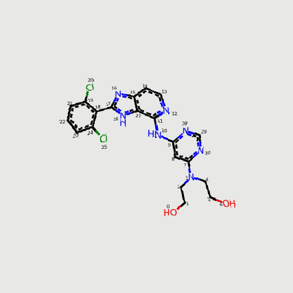 OCCN(CCO)c1cc(Nc2nccc3nc(-c4c(Cl)cccc4Cl)[nH]c23)ncn1